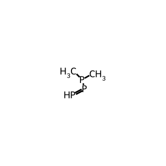 CP(C)P=P